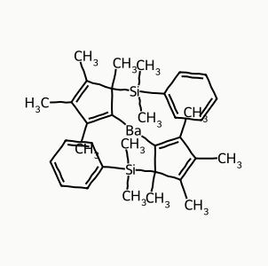 CC1=C(C)C(C)([Si](C)(C)c2ccccc2)[C]([Ba][C]2=C(C)C(C)=C(C)C2(C)[Si](C)(C)c2ccccc2)=C1C